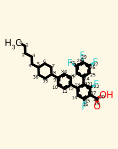 CCCCCC1CCC(c2ccc(-c3cc(F)c(C(=O)O)c(F)c3-c3cc(F)c(F)c(F)c3)cc2)CC1